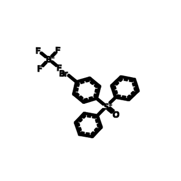 F[B-](F)(F)F.O=[S+](c1ccccc1)(c1ccccc1)c1ccc(Br)cc1